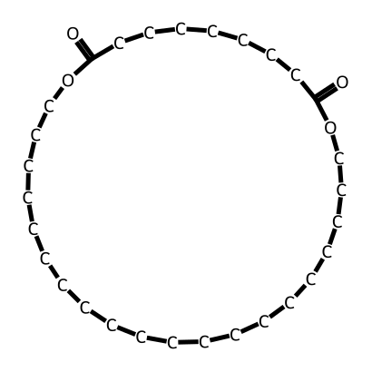 O=C1CCCCCCCC(=O)OCCCCCCCCCCCCCCCCCCCCO1